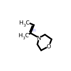 C/C=C(\C)N1CCOCC1